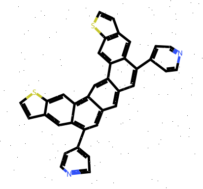 c1cc(-c2cc3cc4cc(-c5ccncc5)c5cc6ccsc6cc5c4cc3c3cc4sccc4cc23)ccn1